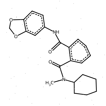 CN(C(=O)c1ccccc1C(=O)Nc1ccc2c(c1)OCO2)C1CCCCC1